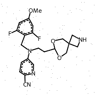 COc1cc(F)c(CN(CCC2OCC3(CNC3)CO2)c2ccc(C#N)nc2)c(F)c1